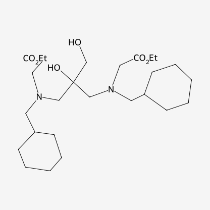 CCOC(=O)CN(CC1CCCCC1)CC(O)(CO)CN(CC(=O)OCC)CC1CCCCC1